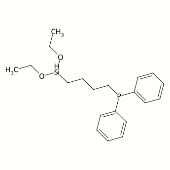 CCO[SiH](CCCCP(c1ccccc1)c1ccccc1)OCC